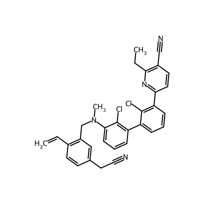 C=Cc1ccc(CC#N)cc1CN(C)c1cccc(-c2cccc(-c3ccc(C#N)c(CC)n3)c2Cl)c1Cl